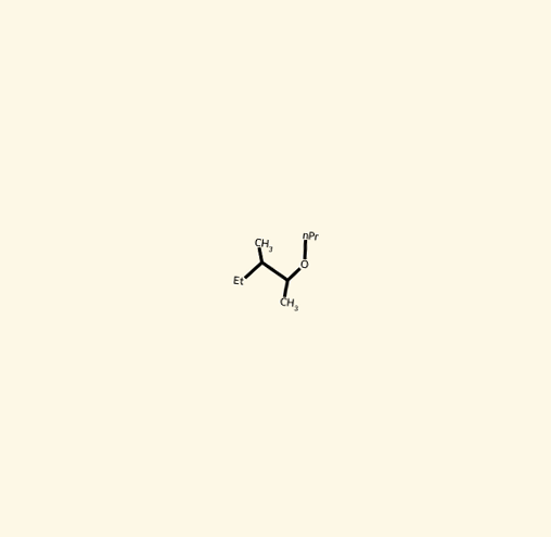 [CH2]CCOC(C)C(C)CC